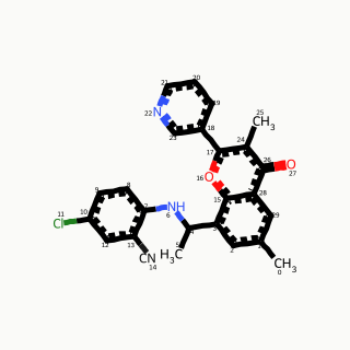 Cc1cc(C(C)Nc2ccc(Cl)cc2C#N)c2oc(-c3cccnc3)c(C)c(=O)c2c1